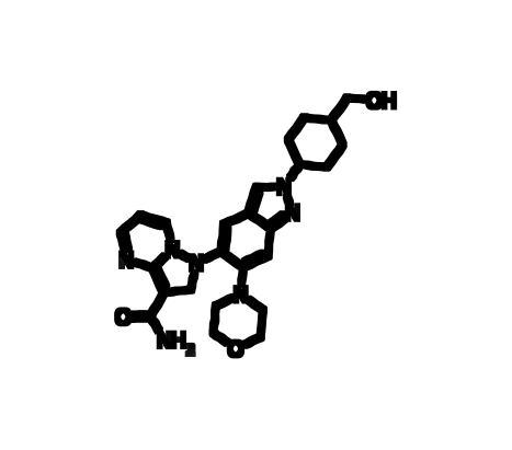 NC(=O)C1=C2N=CC=CN2N(c2cc3cn(C4CCC(CO)CC4)nc3cc2N2CCOCC2)C1